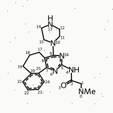 CNCC(=O)Nc1nc2c(c(N3CCNCC3)n1)CCCc1ccccc1-2